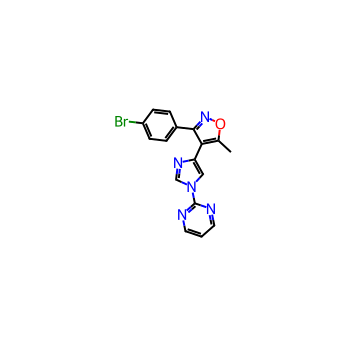 Cc1onc(-c2ccc(Br)cc2)c1-c1cn(-c2ncccn2)cn1